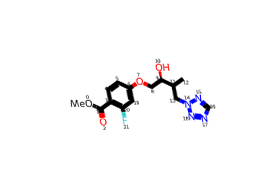 COC(=O)c1ccc(OC[C@@H](O)C(C)Cn2ncnn2)cc1F